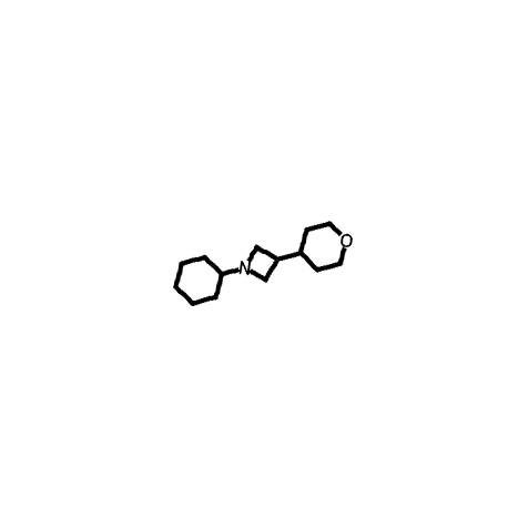 C1CCC(N2CC(C3CCOCC3)C2)CC1